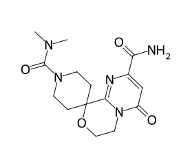 CN(C)C(=O)N1CCC2(CC1)OCCn1c2nc(C(N)=O)cc1=O